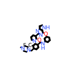 CN1CCN(Cc2ccc(C(=O)Nc3cccc(Oc4nc(-c5cccnc5)nc5cc[nH]c45)c3)cc2C(F)(F)F)CC1